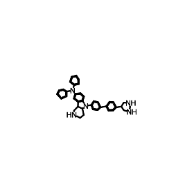 c1ccc(N(c2ccccc2)c2ccc3c(c2)C2CNCCC2N3c2ccc(-c3ccc(C4CNCNC4)cc3)cc2)cc1